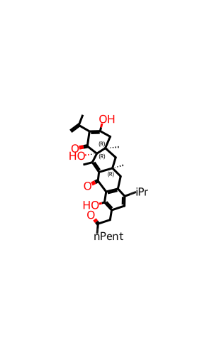 C=C(C)C1=C(O)C[C@@]2(C)C[C@@]3(C)Cc4c(C(C)C)cc(CC(=O)CCCCC)c(O)c4C(=O)C3=C(C)[C@@]2(O)C1=O